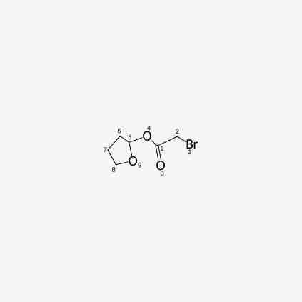 O=C(CBr)OC1CCCO1